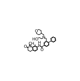 CN1C(=O)CCc2ccc(NC(=O)c3ccc(-c4ccccc4)c(CN(CCO)CC4CCOCC4)c3)cc21